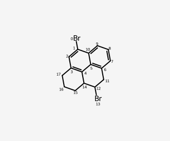 Brc1cc2c3c4c(cccc14)CC(Br)C3CCC2